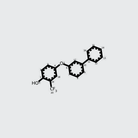 Oc1ccc(Oc2cccc(-c3ccccc3)c2)cc1C(F)(F)F